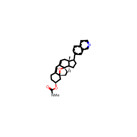 CNC(=O)O[C@H]1CCC2=CC3=CC[C@]4(C)C(c5ccc6ccncc6c5)CC[C@H]4[C@@]34CC[C@]2(C1)O4